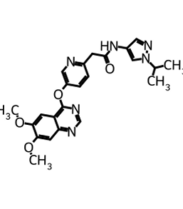 COc1cc2ncnc(Oc3ccc(CC(=O)Nc4cnn(C(C)C)c4)nc3)c2cc1OC